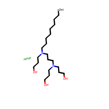 CCCCCCCCCCCCCCCCCCN(CCCO)CCCN(CCCO)CCCO.F.F